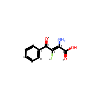 NC(C(=O)O)=C(F)C(=O)c1ccccc1